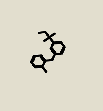 CCC(C)(C)c1cccc(Cc2ccccc2C)c1